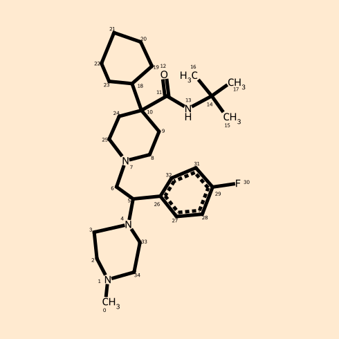 CN1CCN(C(CN2CCC(C(=O)NC(C)(C)C)(C3CCCCC3)CC2)c2ccc(F)cc2)CC1